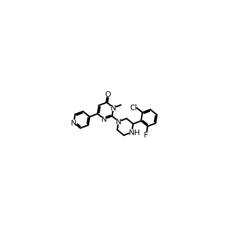 Cn1c(N2CCNC(c3c(F)cccc3Cl)C2)nc(-c2ccncc2)cc1=O